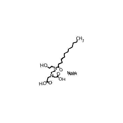 CCCCCCCCCCCC(=O)N(CCO)CCN(CC(=O)O)CC(=O)O.[NaH].[NaH]